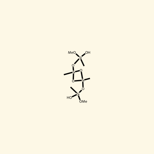 CO[Si](C)(O)O[Si]1(C)O[Si](C)(O[Si](C)(O)OC)O1